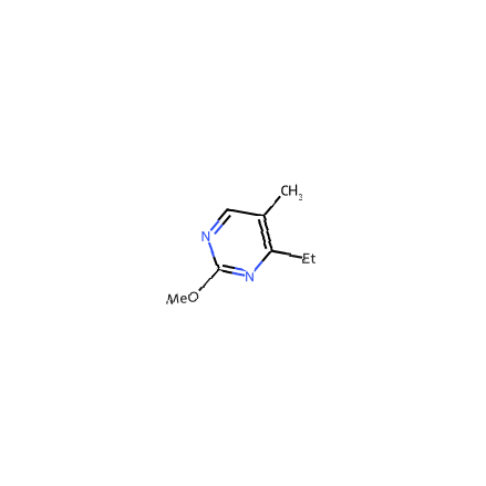 CCc1nc(OC)ncc1C